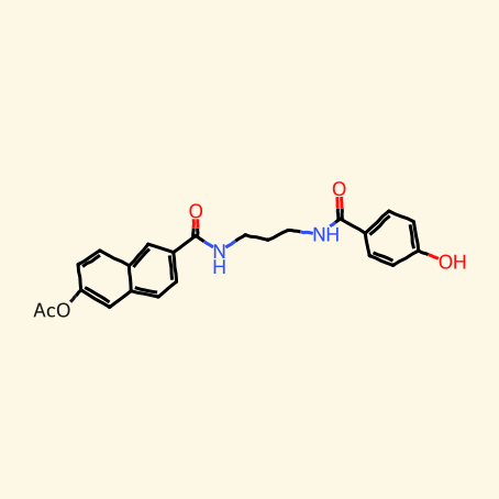 CC(=O)Oc1ccc2cc(C(=O)NCCCNC(=O)c3ccc(O)cc3)ccc2c1